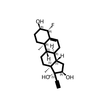 C#C[C@]1(O)[C@H](O)C[C@H]2[C@@H]3CC=C4[C@@H](F)[C@H](O)CC[C@]4(C)[C@H]3CC[C@@]21C